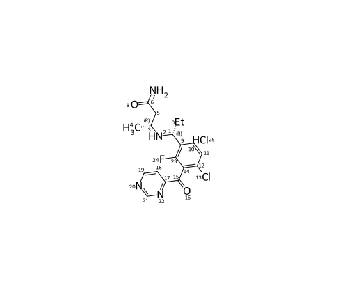 CC[C@@H](N[C@H](C)CC(N)=O)c1ccc(Cl)c(C(=O)c2ccncn2)c1F.Cl